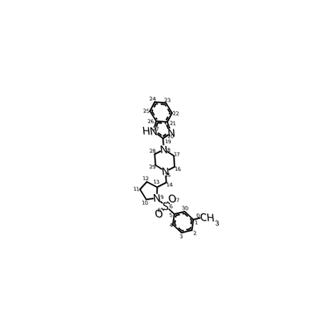 Cc1cccc(S(=O)(=O)N2CCCC2CN2CCN(c3nc4ccccc4[nH]3)CC2)c1